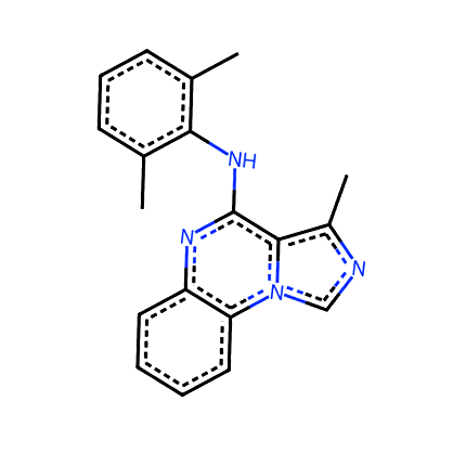 Cc1cccc(C)c1Nc1nc2ccccc2n2cnc(C)c12